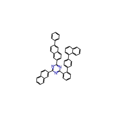 c1ccc(-c2ccc3cc(-c4nc(-c5ccc6ccccc6c5)nc(-c5ccccc5-c5ccc(-c6cccc7ccccc67)cc5)n4)ccc3c2)cc1